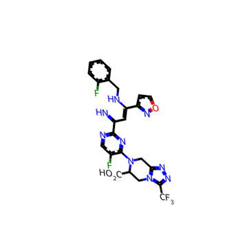 N=C(/C=C(\NCc1ccccc1F)c1ccon1)c1ncc(F)c(N2Cc3nnc(C(F)(F)F)n3CC2C(=O)O)n1